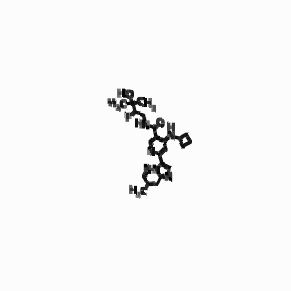 Cc1cnn2c(-c3cc(NC4CCC4)c(C(=O)NCC(F)C(C)(C)O)cn3)cnc2c1